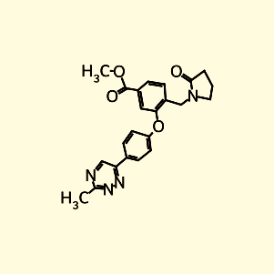 COC(=O)c1ccc(CN2CCCC2=O)c(Oc2ccc(-c3cnc(C)nn3)cc2)c1